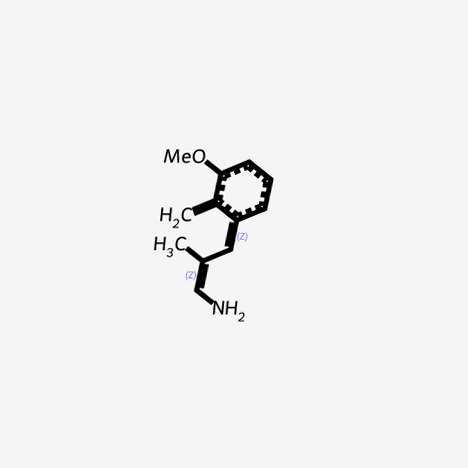 C=c1c(OC)ccc/c1=C/C(C)=C\N